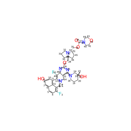 CCc1c(F)ccc2cc(O)cc(-c3ncc4c(N5CCC[C@@](C)(O)C5)nc(OC[C@@]56CCCN5[C@H](COC(=O)N5CCOCC5)CC6)nc4c3F)c12